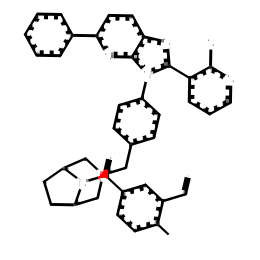 Nc1ncccc1-c1nc2ccc(-c3ccccc3)nc2n1-c1ccc(CN2CC3CCC(C2)N3C(=O)c2ccc(O)c(C=O)c2)cc1